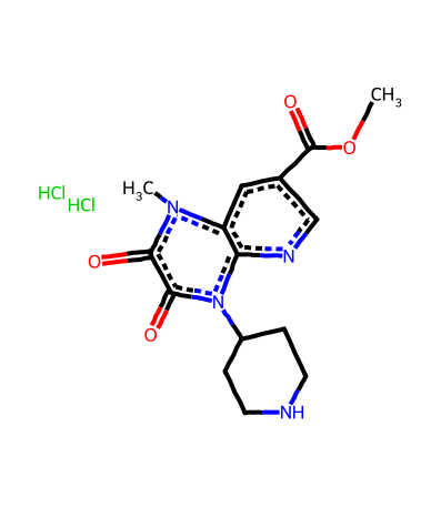 COC(=O)c1cnc2c(c1)n(C)c(=O)c(=O)n2C1CCNCC1.Cl.Cl